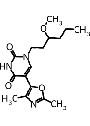 CCCC(CCn1cc(-c2oc(C)nc2C)c(=O)[nH]c1=O)OC